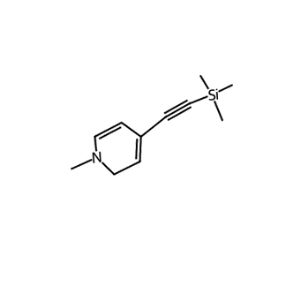 CN1C=CC(C#C[Si](C)(C)C)=CC1